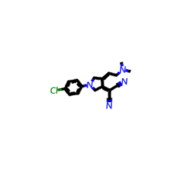 CN(C)CC=C1CN(c2ccc(Cl)cc2)CC1=C(C#N)C#N